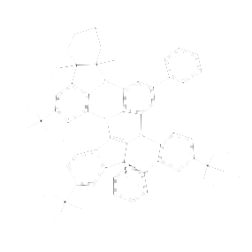 CC(C)(C)c1ccc(N2C3=C(B4c5cc(C(C)(C)C)cc6c5N(c5cc(-c7ccccc7)cc2c54)C2(C)CCCCC62C)c2ccc(C(C)(C)C)cc2C3(C)C)c(-c2ccccc2)c1